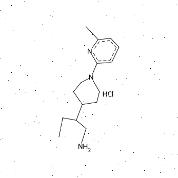 CCC(CN)C1CCN(c2cccc(C)n2)CC1.Cl